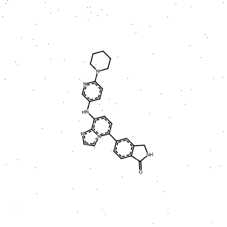 O=C1NCc2cc(-c3ccc(Nc4ccc(N5CCCCC5)nc4)c4nccn34)ccc21